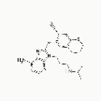 C#Cc1cc2c(cc1Sc1nc3c(N)ncnc3n1CCCNC(C)C)CCCS2